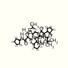 CC(C)C[C@@H](C(=O)N[C@@H](C[C@@H]1CCCNC1=O)C(=O)C(=O)NC1CCCC1)N(C)C(=O)[C@H](NC(=O)C(C)(C)C)C1CCCC1